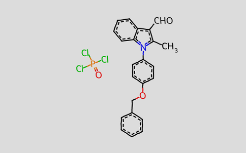 Cc1c(C=O)c2ccccc2n1-c1ccc(OCc2ccccc2)cc1.O=P(Cl)(Cl)Cl